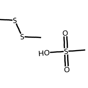 CS(=O)(=O)O.CSSC